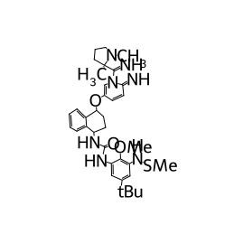 COc1c(NSC)cc(C(C)(C)C)cc1NC(=O)NC1CCC(Oc2ccc(=N)n(C(=N)[C@@]3(C)CCCN3C)c2)c2ccccc21